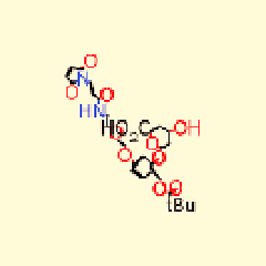 CC(C)(C)C(=O)OCc1ccc(OCCOCCNC(=O)CCN2C(=O)C=CC2=O)cc1OC1CC(O)CC(C(=O)O)O1